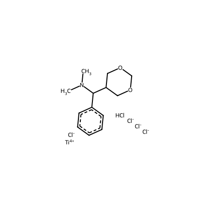 CN(C)C(c1ccccc1)C1COCOC1.Cl.[Cl-].[Cl-].[Cl-].[Cl-].[Ti+4]